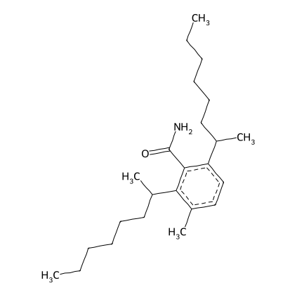 CCCCCCC(C)c1ccc(C)c(C(C)CCCCCC)c1C(N)=O